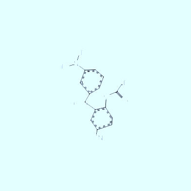 CC[C@H](c1cccc(N(C(C)C)C(C)C)c1)c1cc(C#N)ccc1OC(=O)C(C)C